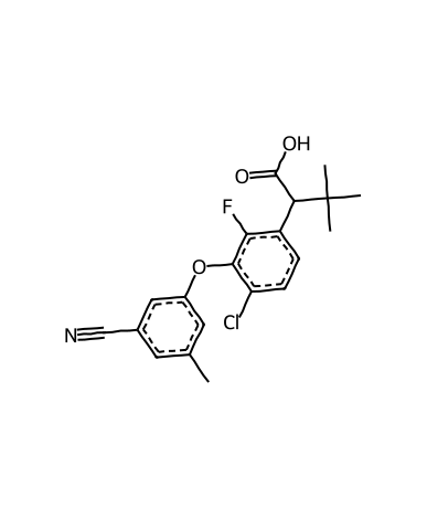 Cc1cc(C#N)cc(Oc2c(Cl)ccc(C(C(=O)O)C(C)(C)C)c2F)c1